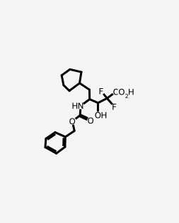 O=C(NC(CC1CCCCC1)C(O)C(F)(F)C(=O)O)OCc1ccccc1